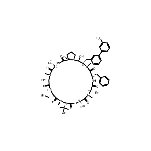 CC[C@H](C)[C@@H]1NC(=O)[C@@H]2CCCN2C(O)[C@H](Cc2cccc(-c3cccc(C(F)(F)F)c3)c2)N(C)C(=O)[C@H](Cc2ccccc2)NC(=O)[C@H](C(C)C)N(C)C(=O)[C@@H]([C@@H](C)CC)OC(=O)[C@H](C(C)(C)O)N(C)C(=O)[C@H](CC(C)C)NC(=O)[C@H](C(C)C)N(C)C1=O